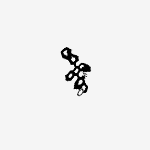 Fc1c(-c2c3ccccc3c(-c3ccc4ccccc4c3)c3ccccc23)ccc2c1CCO2